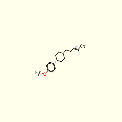 N#C/C(F)=C/CC[C@H]1CC[C@H](c2ccc(OC(F)(F)F)cc2)CC1